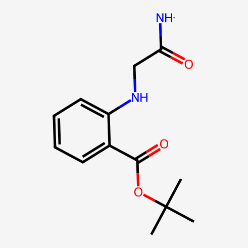 CC(C)(C)OC(=O)c1ccccc1NCC([NH])=O